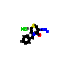 Cl.NC1CSCCN(Cc2ccccc2)C1=O